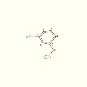 Fc1cc[c]c(CCl)c1